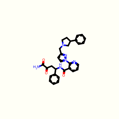 NC(=O)C(=O)CC(NC(=O)c1cccnc1-n1ccc(CN2CCC(c3ccccc3)C2)n1)c1ccccc1